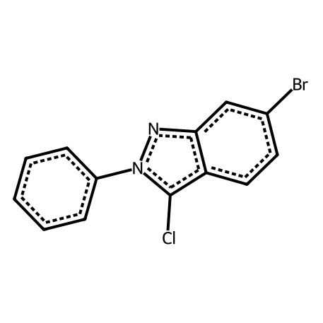 Clc1c2ccc(Br)cc2nn1-c1ccccc1